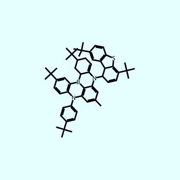 Cc1cc2c3c(c1)N(C1C=CC(C(C)(C)C)=C4Sc5ccc(C(C)(C)C)cc5C41)C1=CCC(C(C)(C)C)CC1B3c1cc(C(C)(C)C)ccc1N2c1ccc(C(C)(C)C)cc1